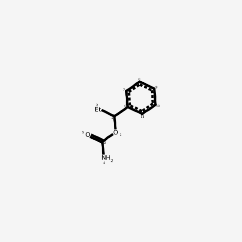 CCC(OC(N)=O)c1ccccc1